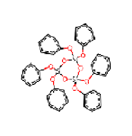 c1ccc(O[Si]2(Oc3ccccc3)O[Si](Oc3ccccc3)(Oc3ccccc3)O[Si](Oc3ccccc3)(Oc3ccccc3)O2)cc1